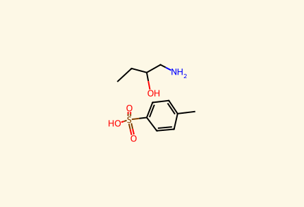 CCC(O)CN.Cc1ccc(S(=O)(=O)O)cc1